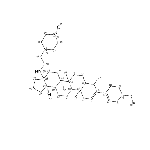 CC1C(C2=CCC(CF)CC2)=CCC2(C)C1CCC1(C)C2CCC2[C@H]3CCCC3(NCCN3CC[S+]([O-])CC3)CC[C@]21C